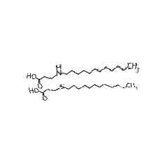 CCCCCCCCCCCCNCCC(=O)O.CCCCCCCCCCCCSCCC(=O)O